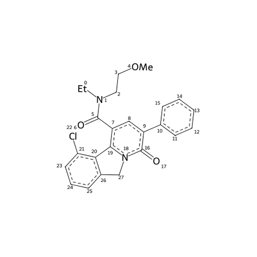 CCN(CCOC)C(=O)c1cc(-c2ccccc2)c(=O)n2c1-c1c(Cl)cccc1C2